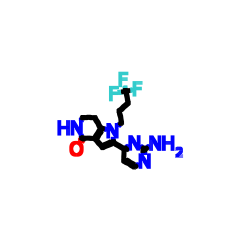 Nc1nccc(-c2cc3c(n2CCCC(F)(F)F)CCNC3=O)n1